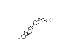 O=C(O)[C@H]1C[C@H](Oc2ccc(-c3ccc(-c4nc5cc(F)ccc5[nH]4)c(F)c3)cn2)C1